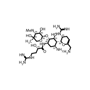 CN[C@@H]1[C@@H](O)[C@@H](O[C@H]2[C@H](NC(=O)[C@@H](O)CCNC(=N)N)C[C@H](N)C([C@H]3OC(CN)=CC[C@H]3NC(=N)N)[C@@H]2O)OC[C@]1(C)O